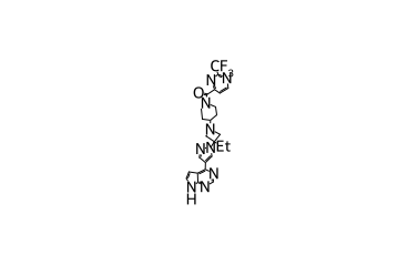 CCC1(n2cc(-c3ncnc4[nH]ccc34)cn2)CN(C2CCN(C(=O)c3ccnc(C(F)(F)F)n3)CC2)C1